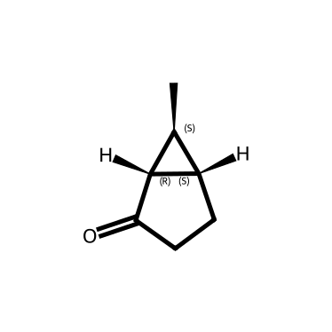 C[C@H]1[C@@H]2CCC(=O)[C@H]12